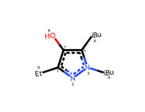 CCc1nn(C(C)CC)c(C(C)CC)c1O